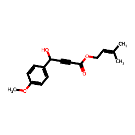 COc1ccc(C(O)C#CC(=O)OCC=C(C)C)cc1